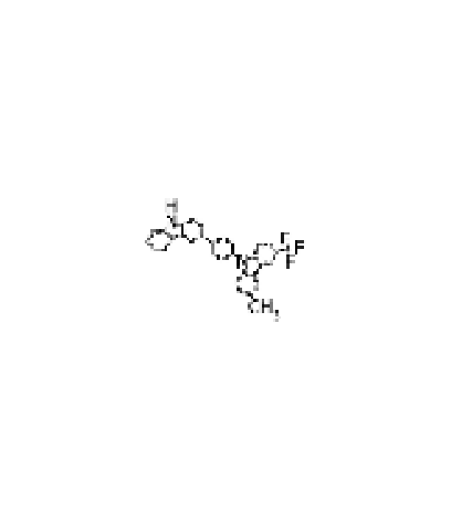 Cc1ccc2c(c1)c1cc(C(F)(F)F)ccc1n2-c1ccc(-c2ccc3[nH]c4ccccc4c3c2)cc1